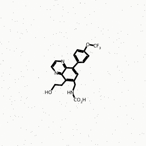 O=C(O)NCc1cc(-c2ccc(OC(F)(F)F)cc2)c2nccnc2c1CCO